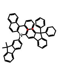 CC1(C)c2ccccc2-c2ccc(N(c3ccc4c(c3)-c3ccccc3C4(C3=CCCC=C3)c3ccccc3)c3ccc4ccccc4c3-c3ccccc3)cc21